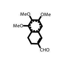 COc1cc2c(c(OC)c1OC)CCC(C=O)=C2